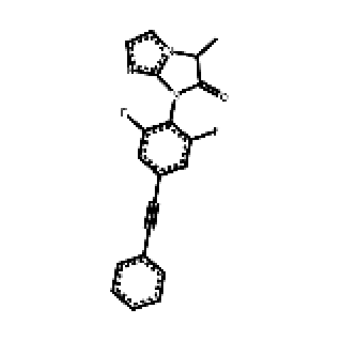 CC1C(=O)N(c2c(F)cc(C#Cc3ccccc3)cc2F)c2nccn21